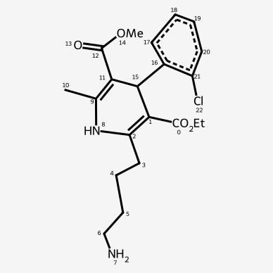 CCOC(=O)C1=C(CCCCN)NC(C)=C(C(=O)OC)C1c1ccccc1Cl